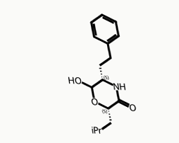 CC(C)C[C@@H]1OC(O)[C@H](CCc2ccccc2)NC1=O